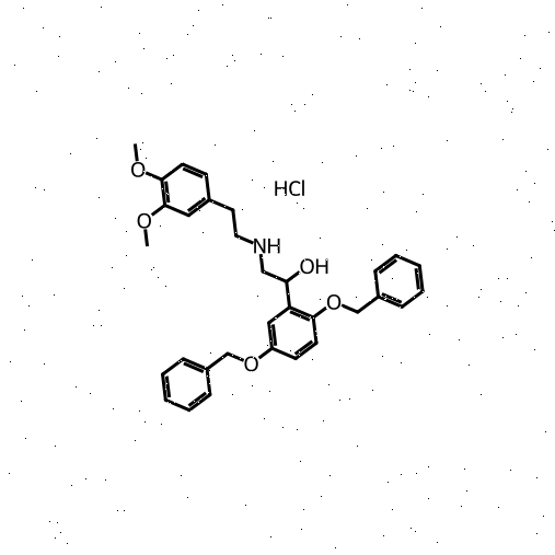 COc1ccc(CCNCC(O)c2cc(OCc3ccccc3)ccc2OCc2ccccc2)cc1OC.Cl